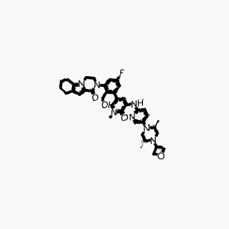 C[C@@H]1CN(c2ccc(Nc3cc(-c4cc(F)cc(N5CCn6c(cc7c6CCCC7)C5=O)c4CO)cn(C)c3=O)nc2)[C@@H](C)CN1C1COC1